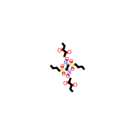 CCCCS(=O)(=O)C(=N\OCC(=O)C(=O)CC)/C(=N/OCC(=O)C(=O)CC)S(=O)(=O)CCCC